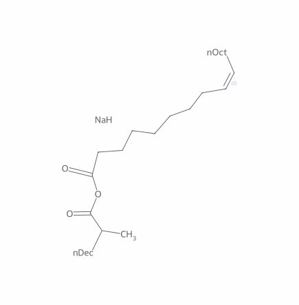 CCCCCCCC/C=C\CCCCCCCC(=O)OC(=O)C(C)CCCCCCCCCC.[NaH]